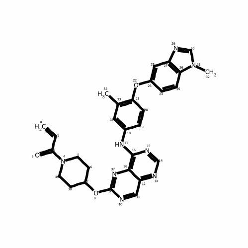 C=CC(=O)N1CCC(Oc2ncc3ncnc(Nc4ccc(Oc5ccc6c(c5)ncn6C)c(C)c4)c3n2)CC1